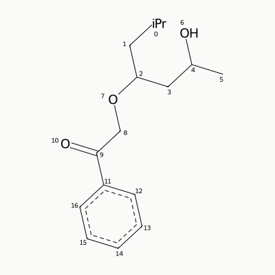 CC(C)CC(CC(C)O)OCC(=O)c1ccccc1